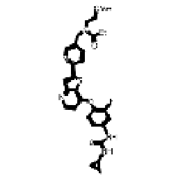 CCC(=O)N(CCOC)Cc1ccc(-c2cc3nccc(Oc4ccc(NC(=O)NC5CC5)cc4F)c3s2)nc1